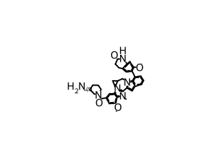 COc1cc2c(cc1-c1cccc3cc(-c4nc5cc(C(=O)N6CCC[C@@H](CN)C6)cc(OC)c5n4C)n(CC4CC4)c13)CCC(=O)N2